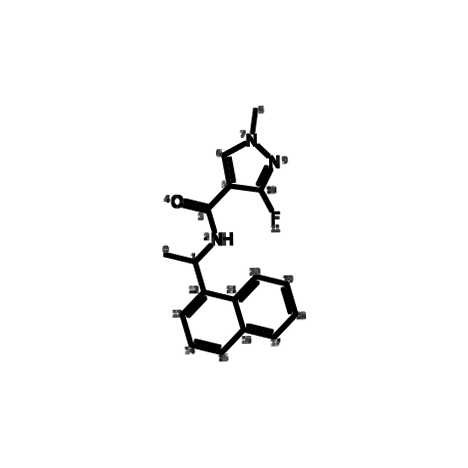 CC(NC(=O)c1cn(C)nc1F)c1cccc2ccccc12